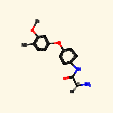 CCOc1cc(Oc2ccc(NC(=O)[C@H](N)CC)cc2)ccc1C#N